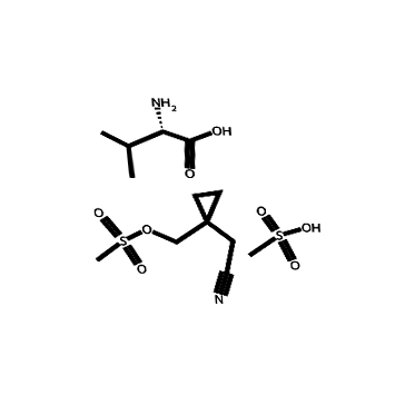 CC(C)[C@H](N)C(=O)O.CS(=O)(=O)O.CS(=O)(=O)OCC1(CC#N)CC1